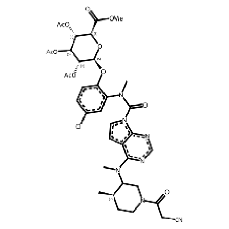 COC(=O)[C@H]1O[C@@H](Oc2ccc(Cl)cc2N(C)C(=O)n2ccc3c(N(C)C4CN(C(=O)CC#N)CC[C@H]4C)ncnc32)[C@H](OC(C)=O)[C@@H](OC(C)=O)[C@@H]1OC(C)=O